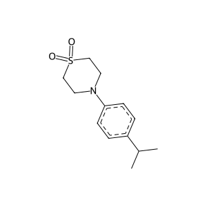 CC(C)c1ccc(N2CCS(=O)(=O)CC2)cc1